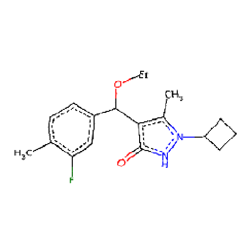 CCOC(c1ccc(C)c(F)c1)c1c(C)n(C2CCC2)[nH]c1=O